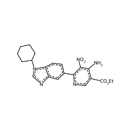 CCOC(=O)c1cnc(-c2ccc3c(c2)ncn3C2CCCCC2)c([N+](=O)[O-])c1N